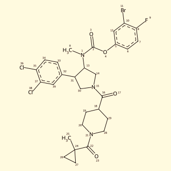 CN(C(=O)Oc1ccc(F)c(Br)c1)C1CN(C(=O)C2CCN(C(=O)C3(C)CC3)CC2)CC1c1ccc(Cl)c(Cl)c1